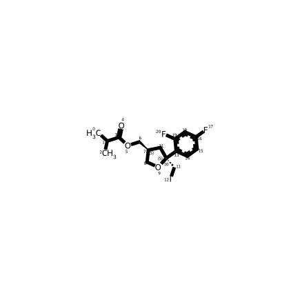 CC(C)C(=O)OC[C@@H]1CO[C@](CI)(c2ccc(F)cc2F)C1